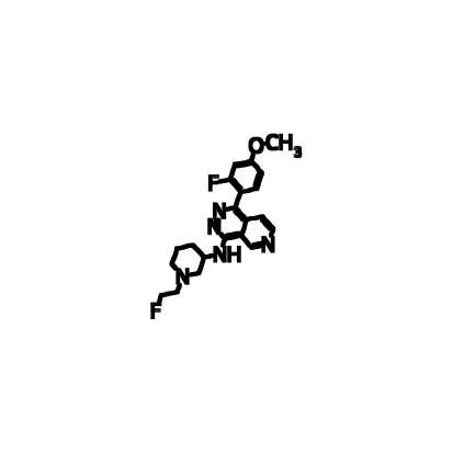 COc1ccc(-c2nnc(NC3CCCN(CCF)C3)c3cnccc23)c(F)c1